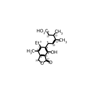 CCc1c(C)c2c(c(O)c1CC=C(C)C(C)CC(=O)O)C(=O)OC2